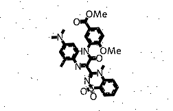 COC(=O)c1ccc(OC)c(NC(=O)/C(=N\c2ccc(N(C)C)cc2C)C2=NS(=O)(=O)c3ccccc3N2C)c1